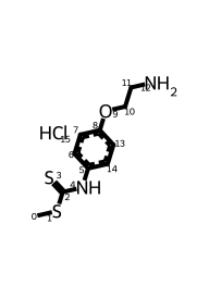 CSC(=S)Nc1ccc(OCCN)cc1.Cl